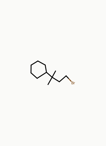 CC(C)(CCBr)C1CCCCC1